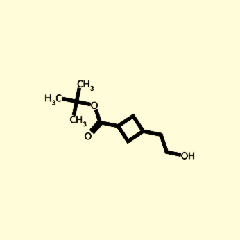 CC(C)(C)OC(=O)C1CC(CCO)C1